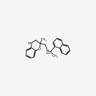 C[C@@H](NCC1(C)CNc2ccccc2O1)c1cccc2ccccc12